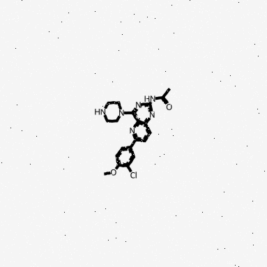 COc1ccc(-c2ccc3nc(NC(C)=O)nc(N4CCNCC4)c3n2)cc1Cl